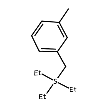 CCS(CC)(CC)Cc1cccc(C)c1